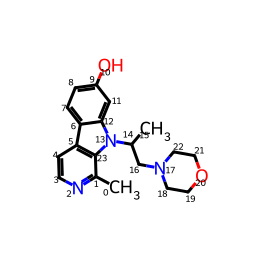 Cc1nccc2c3ccc(O)cc3n(C(C)CN3CCOCC3)c12